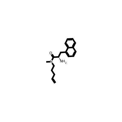 C=CCCCN(C)C(=O)[C@@H](N)Cc1cccc2ccccc12